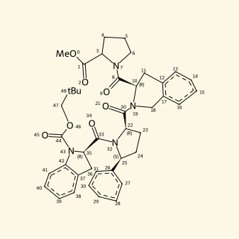 COC(=O)C1CCCN1C(=O)[C@H]1Cc2ccccc2CN1C(=O)[C@H]1CC[C@@H](c2ccccc2)N1C(=O)[C@H]1Cc2ccccc2N1C(=O)OCC(C)(C)C